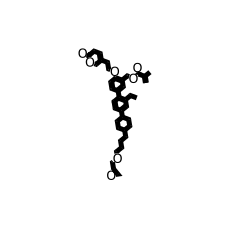 C=C(C)C(=O)OCc1cc(-c2ccc(C3CCC(CCCCOCC4CO4)CC3)cc2CC)ccc1OCCC1=CCC(=O)OC1